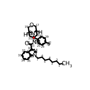 CCCCCCCCn1nc(C(=O)N[C@H]2C[C@H]3COC[C@@H](C2)N3Cc2ccc(F)cc2)c2ccccc21